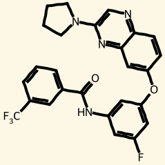 O=C(Nc1cc(F)cc(Oc2ccc3ncc(N4CCCC4)nc3c2)c1)c1cccc(C(F)(F)F)c1